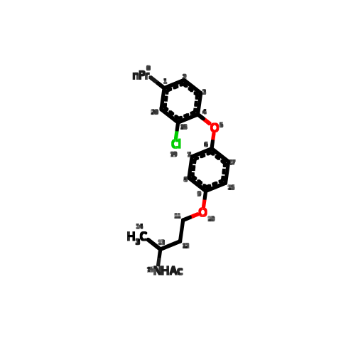 CCCc1ccc(Oc2ccc(OCCC(C)NC(C)=O)cc2)c(Cl)c1